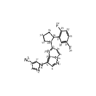 N#Cc1cnn(-c2cnn3ccc(N4CCC[C@H]4c4cc(F)ccc4F)nc23)c1